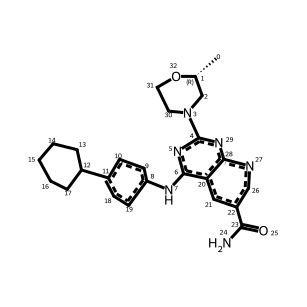 C[C@@H]1CN(c2nc(Nc3ccc(C4CCCCC4)cc3)c3cc(C(N)=O)cnc3n2)CCO1